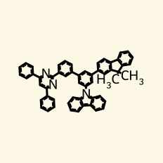 CC1(C)c2ccccc2-c2ccc(-c3cc(-c4cccc(-c5nc(-c6ccccc6)cc(-c6ccccc6)n5)c4)cc(-n4c5ccccc5c5ccccc54)c3)cc21